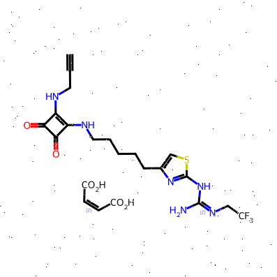 C#CCNc1c(NCCCCCc2csc(N/C(N)=N\CC(F)(F)F)n2)c(=O)c1=O.O=C(O)/C=C\C(=O)O